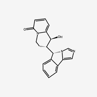 O=c1cccc2n1CC[C@@H]([C@H]1c3ccccc3-c3cncn31)[C@@H]2O